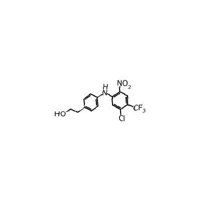 O=[N+]([O-])c1cc(C(F)(F)F)c(Cl)cc1Nc1ccc(CCO)cc1